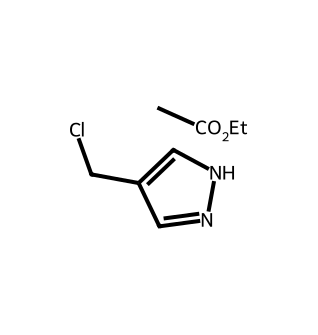 CCOC(C)=O.ClCc1cn[nH]c1